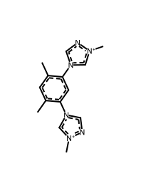 Cc1cc(C)c(-n2cn[n+](C)c2)cc1-n1cn[n+](C)c1